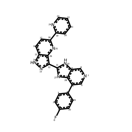 Fc1ccc(-c2cncc3[nH]c(-c4n[nH]c5ccc(-c6ccccn6)nc45)nc23)cc1